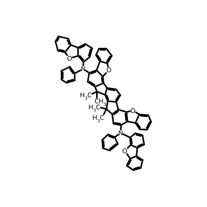 CC1(C)c2cc(N(c3ccccc3)c3cccc4c3oc3ccccc34)c3c(oc4ccccc43)c2-c2ccc3c(c21)C(C)(C)c1cc(N(c2ccccc2)c2cccc4c2oc2ccccc24)c2c(oc4ccccc42)c1-3